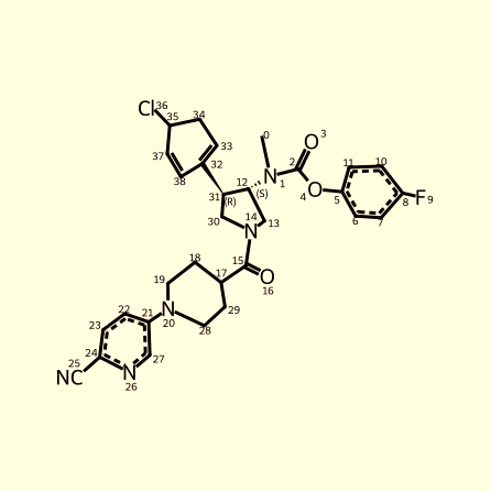 CN(C(=O)Oc1ccc(F)cc1)[C@@H]1CN(C(=O)C2CCN(c3ccc(C#N)nc3)CC2)C[C@H]1C1=CCC(Cl)C=C1